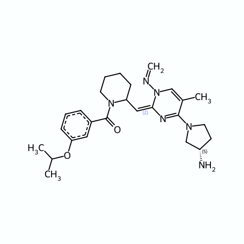 C=NN1C=C(C)C(N2CC[C@H](N)C2)=N/C1=C/C1CCCCN1C(=O)c1cccc(OC(C)C)c1